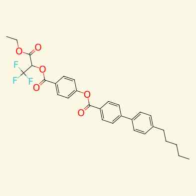 CCCCCc1ccc(-c2ccc(C(=O)Oc3ccc(C(=O)OC(C(=O)OCC)C(F)(F)F)cc3)cc2)cc1